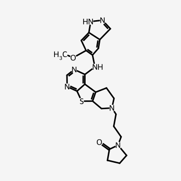 COc1cc2[nH]ncc2cc1Nc1ncnc2sc3c(c12)CCN(CCCN1CCCC1=O)C3